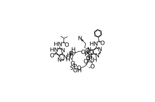 CC(C)C(=O)Nc1nc2c(ncn2[C@@H]2O[C@@H]3COP(=S)(OCCC#N)O[C@H]4[C@H]5OC[C@]4(COP(O)(=S)O[C@@H]2[C@H]3F)O[C@H]5n2cnc3c(NC(=O)c4ccccc4)ncnc32)c(=O)[nH]1